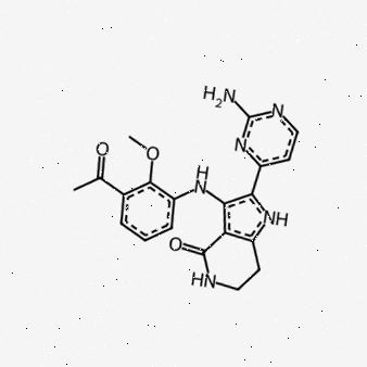 COc1c(Nc2c(-c3ccnc(N)n3)[nH]c3c2C(=O)NCC3)cccc1C(C)=O